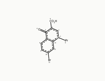 CC(C)n1cc(C(=O)O)c(=O)c2ccc(Br)cc21